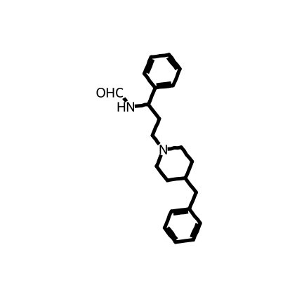 O=CNC(CCN1CCC(Cc2ccccc2)CC1)c1ccccc1